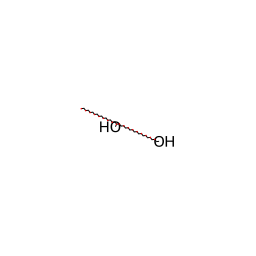 CCCCCCCCCCCCCCCCC(O)CCCCCCCCCCCCCCCCCCO